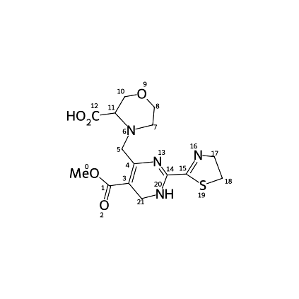 COC(=O)C1=C(CN2CCOCC2C(=O)O)N=C(C2=NCCS2)NC1